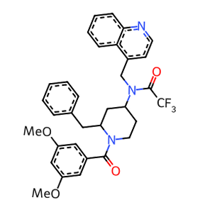 COc1cc(OC)cc(C(=O)N2CCC(N(Cc3ccnc4ccccc34)C(=O)C(F)(F)F)CC2Cc2ccccc2)c1